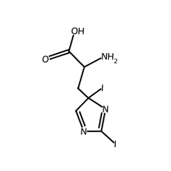 NC(CC1(I)C=NC(I)=N1)C(=O)O